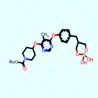 Cc1c(Oc2ccc(CC3COS(O)(O)OC3)cc2)ncnc1OC1CCN(C(=O)OCC(C)C)CC1